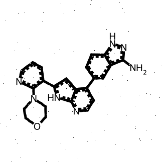 Nc1n[nH]c2ccc(-c3ccnc4[nH]c(-c5cccnc5N5CCOCC5)cc34)cc12